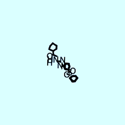 O=S(=O)(c1ccccc1)c1ccc2nc(NCC(O)C3CCCCC3)nn2c1